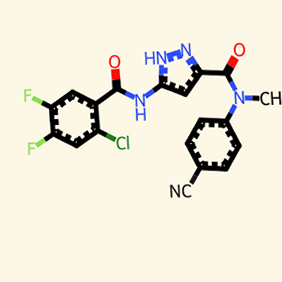 CN(C(=O)c1cc(NC(=O)c2cc(F)c(F)cc2Cl)[nH]n1)c1ccc(C#N)cc1